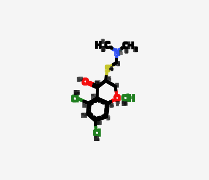 CN(C)CSC1COc2cc(Cl)cc(Cl)c2C1=O.Cl